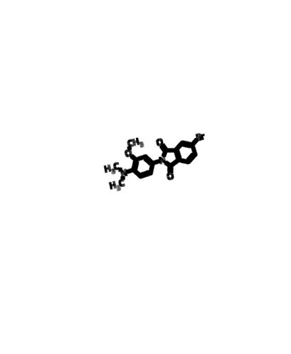 COc1cc(N2C(=O)c3ccc(Br)cc3C2=O)ccc1N(C)C